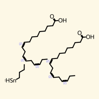 CC/C=C\C/C=C\C/C=C\CCCCCCCC(=O)O.CC/C=C\C/C=C\C/C=C\CCCCCCCC(=O)O.CCC[CH2][SnH]